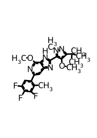 COc1c(C(C)(C)C)nn(C)c1-c1nc2cc(-c3cc(F)c(F)c(F)c3C)nc(OC)c2[nH]1